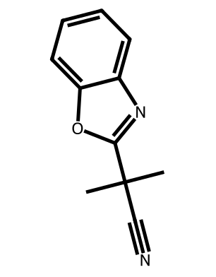 CC(C)(C#N)c1nc2ccccc2o1